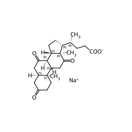 C[C@H](CCC(=O)[O-])[C@H]1CC[C@H]2[C@@H]3C(=O)C[C@@H]4CC(=O)CC[C@]4(C)[C@H]3CC(=O)[C@]12C.[Na+]